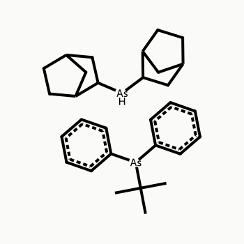 C1CC2CC1CC2[AsH]C1CC2CCC1C2.CC(C)(C)[As](c1ccccc1)c1ccccc1